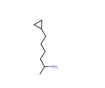 CC(N)CCCCC1CC1